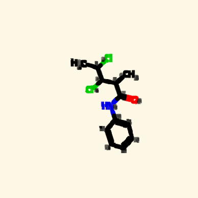 CC(Cl)C(Cl)C(C)C(=O)Nc1ccccc1